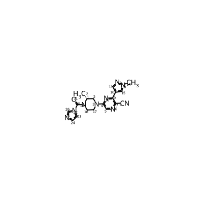 C[C@@H]1CN(c2cnc(C#N)c(-c3cnn(C)c3)n2)CCN1C(=O)n1ccnc1